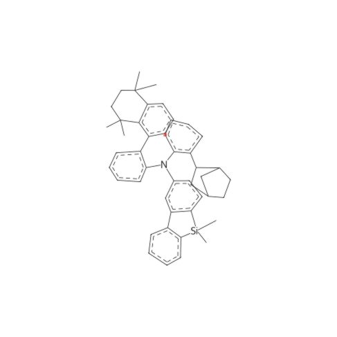 CC1(C)CCC(C)(C)c2c(-c3ccccc3N(c3ccc4c(c3)-c3ccccc3[Si]4(C)C)c3ccccc3C3CC4CCC3C4)cccc21